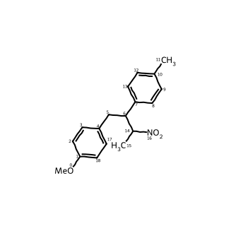 COc1ccc(CC(c2ccc(C)cc2)C(C)[N+](=O)[O-])cc1